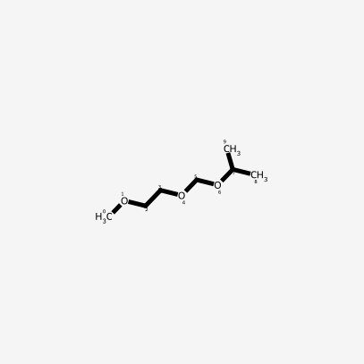 COCCOCO[C](C)C